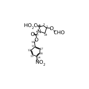 O=COC1C[C@H](C(=O)O)N(C(=O)OCc2ccc([N+](=O)[O-])cc2)C1